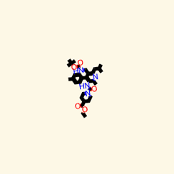 CCOC(=O)C1CCN(C(=O)Nc2c(C)nc(CC(C)C)c(CNC(=O)OC(C)(C)C)c2-c2ccc(C)cc2)CC1